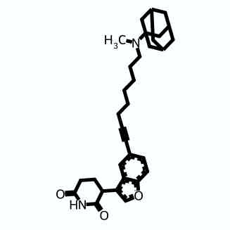 CN(CCCCCCC#Cc1ccc2occ(C3CCC(=O)NC3=O)c2c1)C12CC3CC(CC(C3)C1)C2